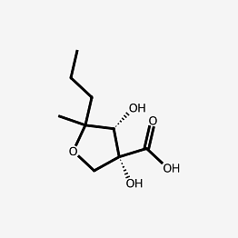 CCCC1(C)OC[C@](O)(C(=O)O)[C@H]1O